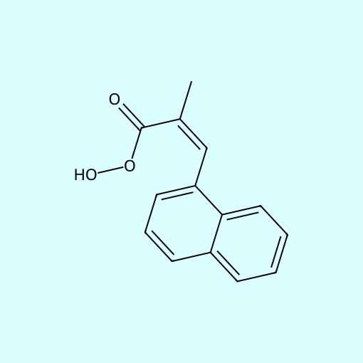 CC(=Cc1cccc2ccccc12)C(=O)OO